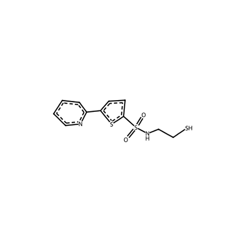 O=S(=O)(NCCS)c1ccc(-c2ccccn2)s1